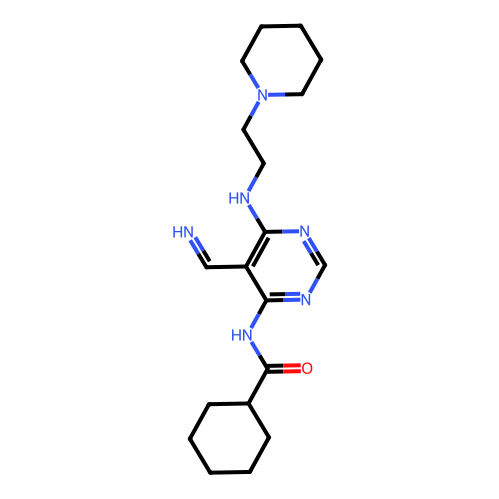 N=Cc1c(NCCN2CCCCC2)ncnc1NC(=O)C1CCCCC1